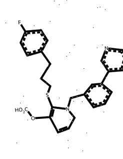 O=C(O)OC1=C(SCCCc2ccc(F)cc2)N(Cc2cccc(-c3cccnc3)c2)CC=C1